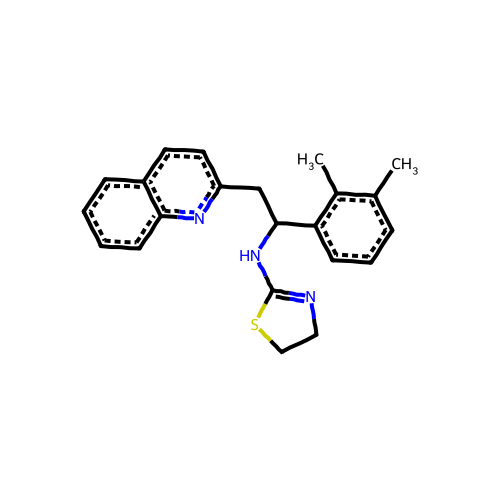 Cc1cccc(C(Cc2ccc3ccccc3n2)NC2=NCCS2)c1C